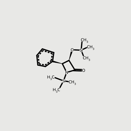 C[Si](C)(C)O[C@H]1C(=O)N([Si](C)(C)C)[C@H]1c1ccccc1